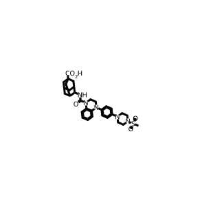 CS(=O)(=O)N1CCN(c2ccc(N3CCN(C(=O)NC4C5CC6CC4CC(C(=O)O)(C6)C5)c4ccccc43)cc2)CC1